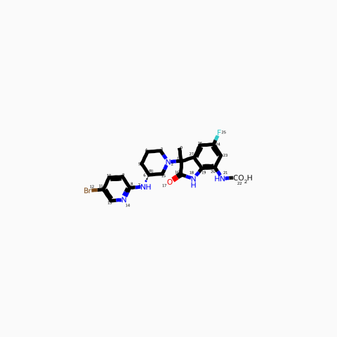 CC1(N2CCC[C@@H](Nc3ccc(Br)cn3)C2)C(=O)Nc2c(NC(=O)O)cc(F)cc21